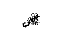 CC1OC(=O)C2=C1C[S+]([O-])[C@H]1[C@H](NC(=O)Cc3cccs3)C(=O)N21